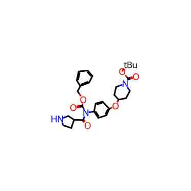 CC(C)(C)OC(=O)N1CCC(Oc2ccc(N(C(=O)OCc3ccccc3)C(=O)C3CCNC3)cc2)CC1